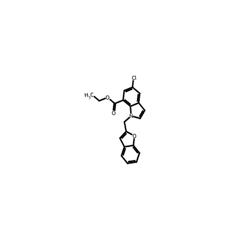 CCOC(=O)c1cc(Cl)cc2ccn(Cc3cc4ccccc4o3)c12